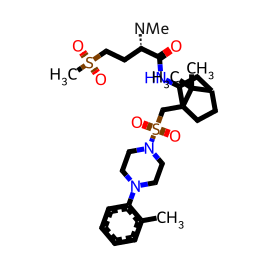 CN[C@@H](CCS(C)(=O)=O)C(=O)NC1CC2CCC1(CS(=O)(=O)N1CCN(c3ccccc3C)CC1)C2(C)C